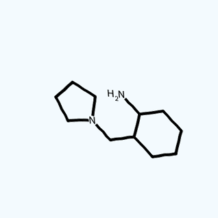 NC1CCCCC1CN1CCCC1